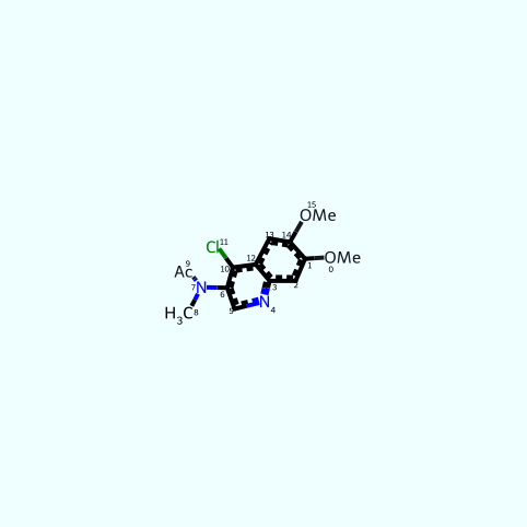 COc1cc2ncc(N(C)C(C)=O)c(Cl)c2cc1OC